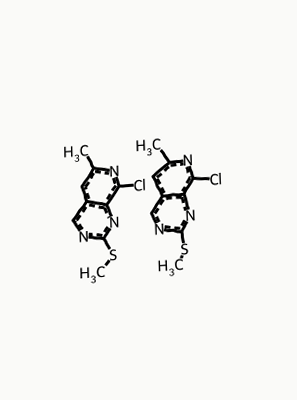 CSc1ncc2cc(C)nc(Cl)c2n1.CSc1ncc2cc(C)nc(Cl)c2n1